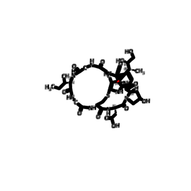 CCC(C)[C@@H]1NC(=O)CNC(=O)C2Cc3c([nH]c4ccccc34)SCC(NC(=O)CNC1=O)C(=O)N[C@@H](CC(=O)O)C(=O)N1CC(O)C[C@H]1C(=O)N[C@@H]([C@@H](C)[C@@H](O)CO)C(=O)N2